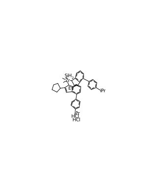 CCC1=Cc2c(-c3ccc(C(C)C)cc3)cccc2[CH]1[Zr]([CH3])([CH3])(=[SiH2])[CH]1C(C2CCCC2)=Cc2c(-c3ccc(C(C)C)cc3)cccc21.Cl.Cl